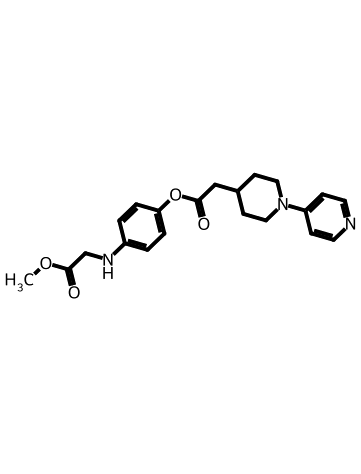 COC(=O)CNc1ccc(OC(=O)CC2CCN(c3ccncc3)CC2)cc1